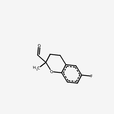 CC1(C=O)CCc2cc(F)ccc2O1